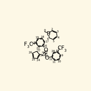 CB1C=CC=CC1.FC(F)(F)c1cccc([O][Zr]([O]c2cccc(C(F)(F)F)c2)[C]2=CC=CC2)c1